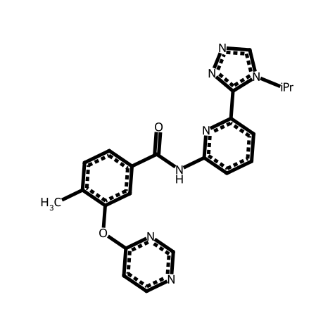 Cc1ccc(C(=O)Nc2cccc(-c3nncn3C(C)C)n2)cc1Oc1ccncn1